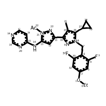 CCOc1cc(F)c(Cn2nc(-c3cc(Nc4ccncn4)n(C(C)=O)n3)c(C)c2C2CC2)c(F)c1